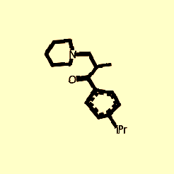 CC(CN1CCCCC1)C(=O)c1ccc(C(C)C)cc1